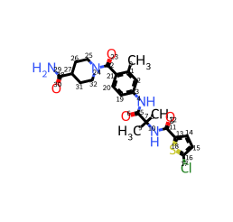 Cc1cc(NC(=O)C(C)(C)NC(=O)c2ccc(Cl)s2)ccc1C(=O)N1CCC(C(N)=O)CC1